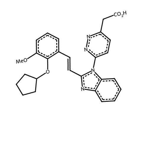 COc1cccc(C=Cc2nc3ccccc3n2-c2ccc(CC(=O)O)nn2)c1OC1CCCC1